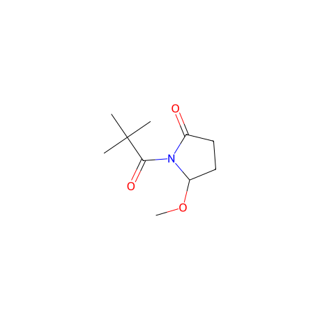 COC1CCC(=O)N1C(=O)C(C)(C)C